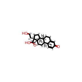 C[C@]12C=CC(=O)C=C1CC[C@@H]1[C@@H]2CC[C@@]2(C)[C@H]1CC[C@@]2(CCO)C(=O)O